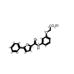 CCOC(=O)COc1cccc(NC(=O)c2ccc(-c3ccccc3)o2)c1